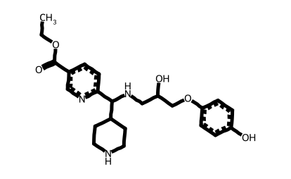 CCOC(=O)c1ccc(C(NCC(O)COc2ccc(O)cc2)C2CCNCC2)nc1